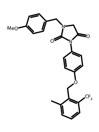 COc1ccc(CN2CC(=O)N(c3ccc(OCc4c(C)cccc4C(F)(F)F)cc3)C2=O)cc1